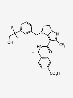 C[C@H](NC(=O)c1c(C(F)(F)F)nn2c1N(Cc1cccc(C(F)(F)CO)c1)CC2)c1ccc(C(=O)O)cc1